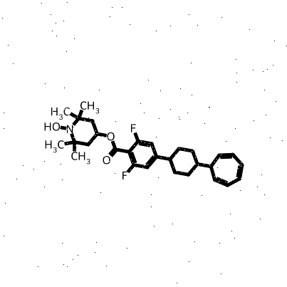 CC1(C)CC(OC(=O)c2c(F)cc(C3CCC(C4C=CC=CC=C4)CC3)cc2F)CC(C)(C)N1O